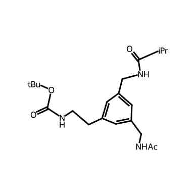 CC(=O)NCc1cc(CCNC(=O)OC(C)(C)C)cc(CNC(=O)C(C)C)c1